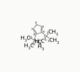 CC(C)(C)C1=C[CH]C=C1C(C)(C)C